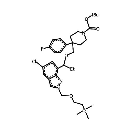 CCC(OCC1(c2ccc(F)cc2)CCN(C(=O)OC(C)(C)C)CC1)c1cc(Cl)cc2cn(COCC[Si](C)(C)C)nc12